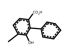 Cc1ccc(C(=O)O)c(-c2ccccc2)c1O